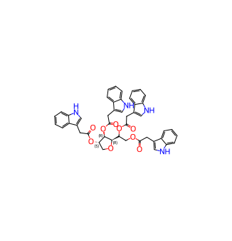 O=C(Cc1c[nH]c2ccccc12)OCC(OC(=O)Cc1c[nH]c2ccccc12)[C@H]1OC[C@H](OC(=O)Cc2c[nH]c3ccccc23)[C@H]1OC(=O)Cc1c[nH]c2ccccc12